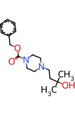 CC(C)(O)CCN1CCN(C(=O)OCc2ccccc2)CC1